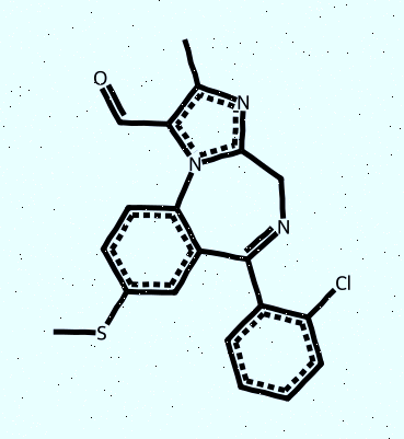 CSc1ccc2c(c1)C(c1ccccc1Cl)=NCc1nc(C)c(C=O)n1-2